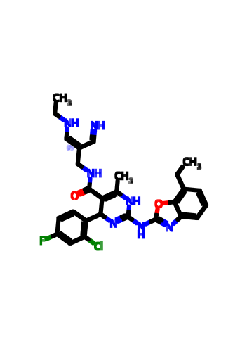 CCN/C=C(\C=N)CNC(=O)C1=C(C)NC(Nc2nc3cccc(CC)c3o2)=NC1c1ccc(F)cc1Cl